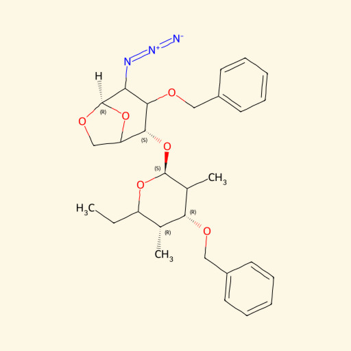 CCC1O[C@@H](O[C@@H]2C3CO[C@H](O3)C(N=[N+]=[N-])C2OCc2ccccc2)C(C)[C@H](OCc2ccccc2)[C@@H]1C